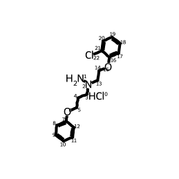 Cl.NN(CCCOc1ccccc1)CCOc1ccccc1Cl